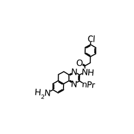 CCCc1nc2c(nc1NC(=O)Cc1ccc(Cl)cc1)CCc1cc(N)ccc1-2